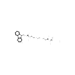 CC(C)[C@H](NC(=O)CCOCCOCCNC(=O)OCC1c2ccccc2-c2ccccc21)C(=O)O